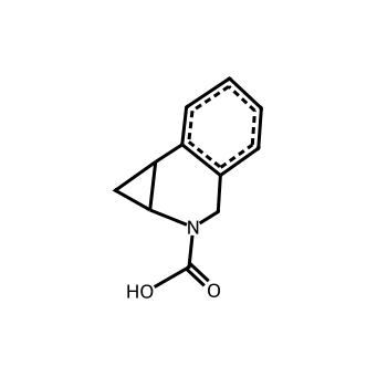 O=C(O)N1Cc2ccccc2C2CC21